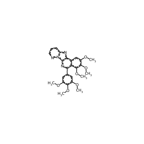 COc1cc(-c2nc3c(nc4cccnn43)c3cc(OC)c(OC)c(OC)c23)cc(OC)c1OC